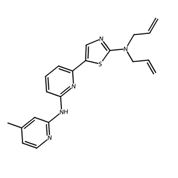 C=CCN(CC=C)c1ncc(-c2cccc(Nc3cc(C)ccn3)n2)s1